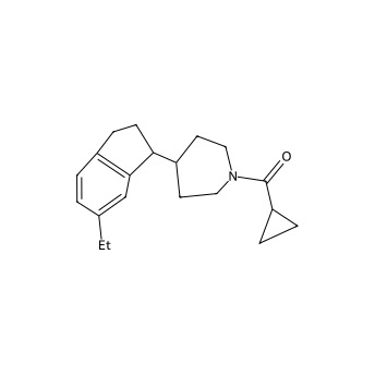 CCc1ccc2c(c1)C(C1CCN(C(=O)C3CC3)CC1)CC2